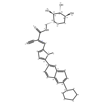 Cn1c(/C=C(\C#N)C(=O)NC[C@H]2OC[C@H](O)[C@@H](O)[C@@H]2O)ccc1-c1ccc2cc(N3CCCCC3)ccc2c1